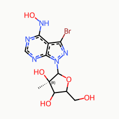 C[C@@]1(O)C(O)C(CO)OC1n1nc(Br)c2c(NO)ncnc21